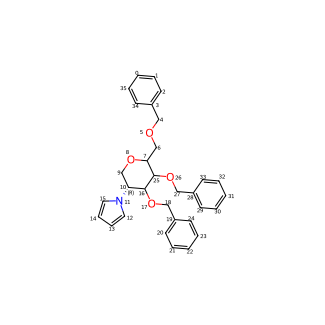 c1ccc(COCC2OC[C@@H](n3cccc3)C(OCc3ccccc3)C2OCc2ccccc2)cc1